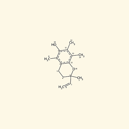 C=CC1(C)CCc2c(C)c(O)c(C)c(C)c2O1